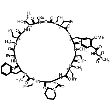 CCCCN1CC(=O)N(C)[C@@H](CC(C)C)C(=O)N[C@@H](Cc2ccc(C(=O)NS(C)(=O)=O)c(OC)c2)C(=O)N(C)[C@@H](CC(C)C)C(=O)N(C)[C@@H](CC(C)C)C(=O)N[C@H](C(=O)N2CCCCC2)CC(=O)N[C@H](CC(C)C)C(=O)N(C)C(Cc2ccccc2)C(=O)N[C@@H](C(C)C)C(=O)N(C)[C@@H](CC(C)C)C(=O)N[C@@H]([C@@H](C)O)C1=O